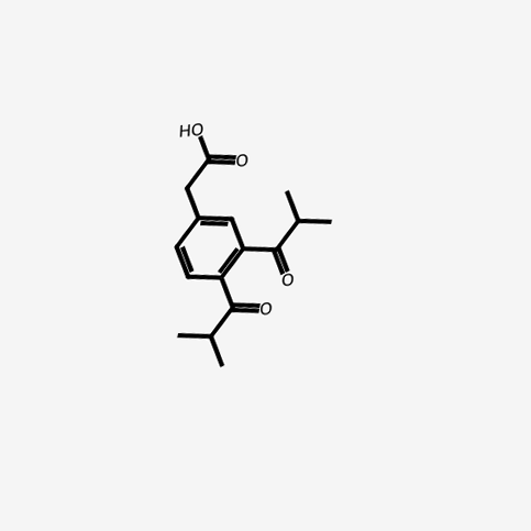 CC(C)C(=O)c1ccc(CC(=O)O)cc1C(=O)C(C)C